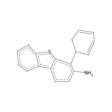 Nc1ccc2c(sc3ccccc32)c1C1C=CC=CC1